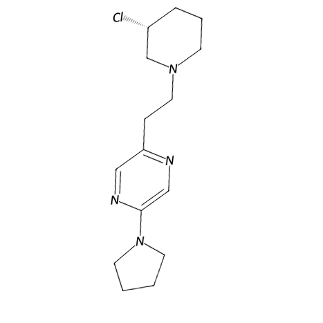 Cl[C@@H]1CCCN(CCc2cnc(N3CCCC3)cn2)C1